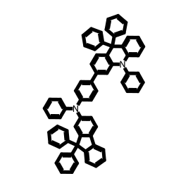 c1ccc(N(c2ccc(-c3ccc4c(c3)N(c3ccccc3)c3ccccc3C4(c3ccccc3)c3ccccc3)cc2)c2ccc3c(c2)C(c2ccccc2)(c2ccccc2)c2ccccc2-3)cc1